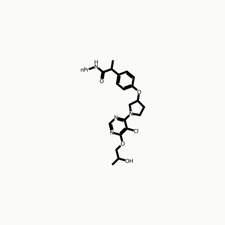 CCCNC(=O)C(C)c1ccc(OC2CCN(c3ncnc(OCC(C)O)c3Cl)C2)cc1